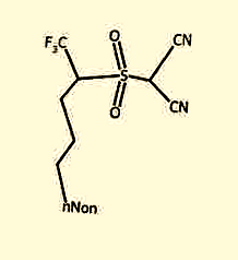 CCCCCCCCCCCCC(C(F)(F)F)S(=O)(=O)C(C#N)C#N